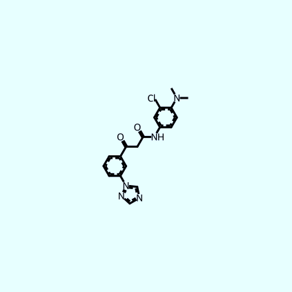 CN(C)c1ccc(NC(=O)CC(=O)c2cccc(-n3cncn3)c2)cc1Cl